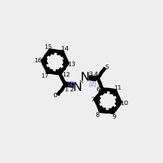 C/C(=N/N=C(/C)c1ccccc1)c1ccccc1